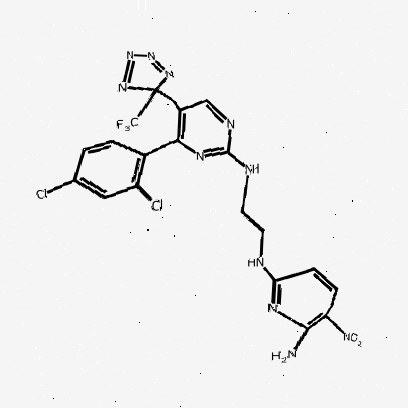 Nc1nc(NCCNc2ncc(C3(C(F)(F)F)N=NN=N3)c(-c3ccc(Cl)cc3Cl)n2)ccc1[N+](=O)[O-]